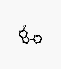 Clc1cc2c(ccn2-c2ncccn2)cn1